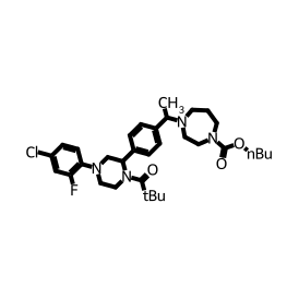 CCCCOC(=O)N1CCCN(C(C)c2ccc(C3CN(c4ccc(Cl)cc4F)CCN3C(=O)C(C)(C)C)cc2)CC1